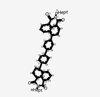 CCCCCCCN1C(=O)c2cccc3c(-c4ccc(-c5ccc(-c6ccc7c8c(cccc68)C(=O)N(CCCCCCC)C7=O)cc5)cc4)ccc(c23)C1=O